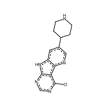 Clc1ncnc2[nH]c3cc(C4CCNCC4)cnc3c12